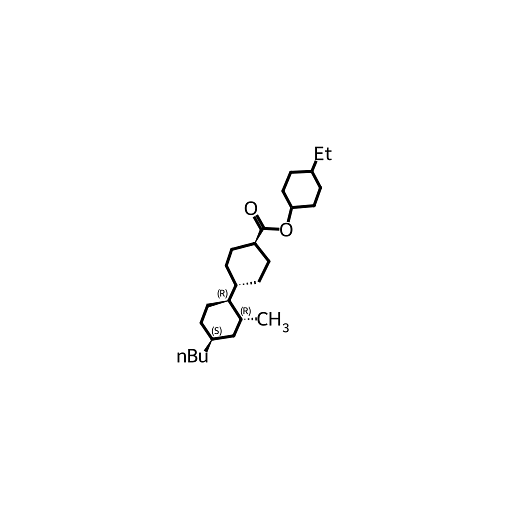 CCCC[C@H]1CC[C@@H]([C@H]2CC[C@H](C(=O)OC3CCC(CC)CC3)CC2)[C@H](C)C1